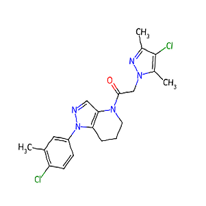 Cc1cc(-n2ncc3c2CCCN3C(=O)Cn2nc(C)c(Cl)c2C)ccc1Cl